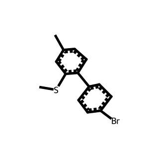 CSc1cc(C)ccc1-c1ccc(Br)cc1